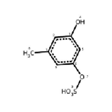 Cc1cc(O)cc(OS(=O)(=O)O)c1